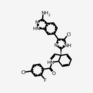 C=C[C@]1(c2nc(-c3ccc4c(N)n[nH]c4c3)c(Cl)[nH]2)C=CC=CC1NC(=O)c1ccc(Cl)cc1F